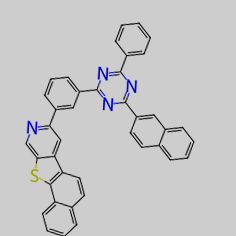 c1ccc(-c2nc(-c3cccc(-c4cc5c(cn4)sc4c6ccccc6ccc54)c3)nc(-c3ccc4ccccc4c3)n2)cc1